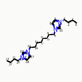 CCCC[n+]1ccn(CCCCCCCCn2cc[n+](CCCC)c2)c1